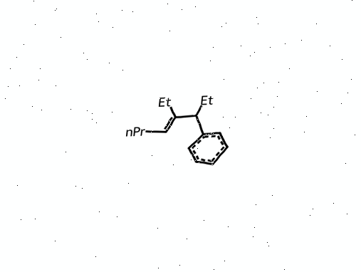 CCCC=C(CC)C(CC)c1ccccc1